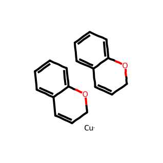 C1=Cc2ccccc2OC1.C1=Cc2ccccc2OC1.[Cu]